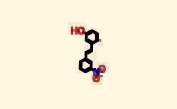 O=[N+]([O-])c1cccc(C=Cc2[c]ccc(O)c2)c1